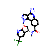 CN(C(=O)c1ccc2nc(N)c3cnn(C)c3c2c1)[C@H]1COc2ncc(C(F)(F)F)cc21